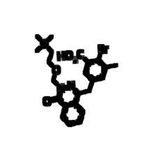 Cc1cc(Cc2nn(COCC[Si](C)(C)C)c(=O)c3ccccc23)cc(C(=O)O)c1Br